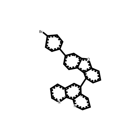 Brc1ccc(-c2ccc3c(c2)oc2cccc(-c4cc5cccnc5c5ncccc45)c23)cc1